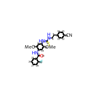 COc1cc(NC(=S)NCCc2ccc(C#N)cc2)c(OC)cc1NC(=O)c1ccccc1F